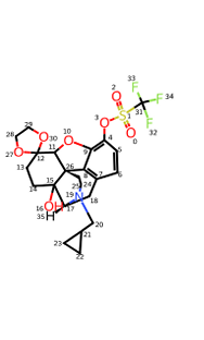 O=S(=O)(Oc1ccc2c3c1OC1C4(CCC5(O)[C@@H](C2)N(CC2CC2)CC[C@]315)OCCO4)C(F)(F)F